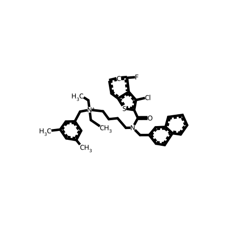 CC[N+](CC)(CCCCN(Cc1ccc2ccccc2c1)C(=O)c1sc2cccc(F)c2c1Cl)Cc1cc(C)cc(C)c1